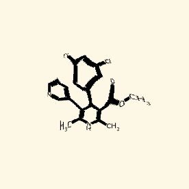 COC(=O)C1=C(C)NC(C)=C(c2cccnc2)C1c1cc(Cl)cc(Cl)c1